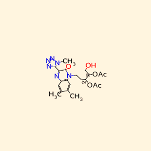 CC(=O)O[C@@H](CCn1c(=O)c(-c2nnnn2C)nc2cc(C)c(C)cc21)[C@@H](CO)OC(C)=O